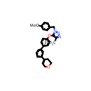 CCOC(=O)c1nnn(Cc2ccc(OC)cc2)c1Oc1ccc(-c2cccc(C3=CCOCC3)c2)cc1